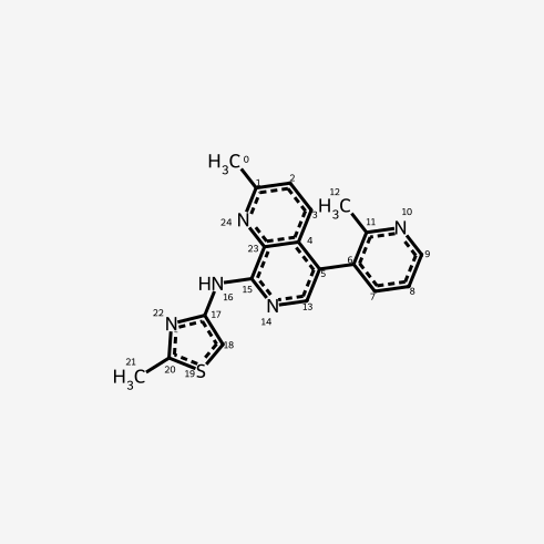 Cc1ccc2c(-c3cccnc3C)cnc(Nc3csc(C)n3)c2n1